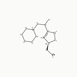 CC(C)C[C@@H]1COC(C(C)CN2CCCCC2)=N1